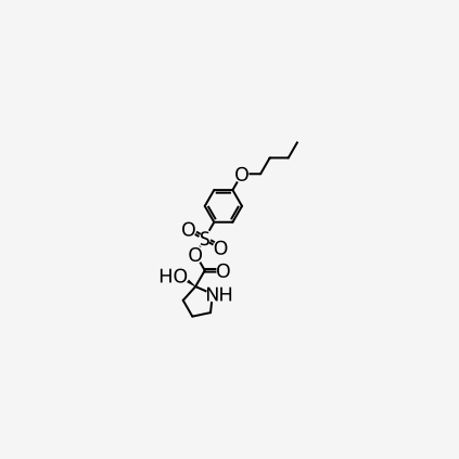 CCCCOc1ccc(S(=O)(=O)OC(=O)[C@@]2(O)CCCN2)cc1